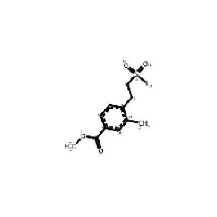 COC(=O)c1ccc(CCS(=O)(=O)I)c(C)c1